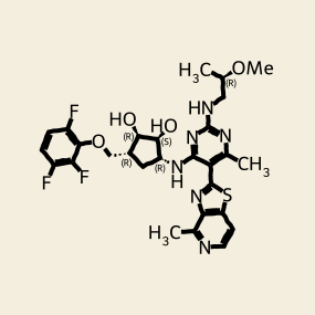 CO[C@H](C)CNc1nc(C)c(-c2nc3c(C)nccc3s2)c(N[C@@H]2C[C@H](COc3c(F)ccc(F)c3F)[C@@H](O)[C@H]2O)n1